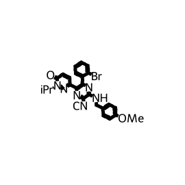 COc1ccc(CNc2nc(-c3ccccc3Br)c(-c3ccc(=O)n(C(C)C)n3)nc2C#N)cc1